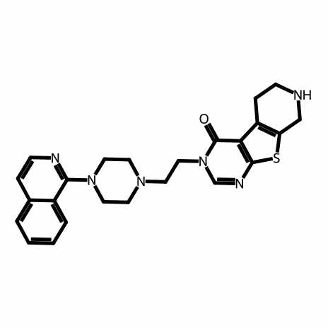 O=c1c2c3c(sc2ncn1CCN1CCN(c2nccc4ccccc24)CC1)CNCC3